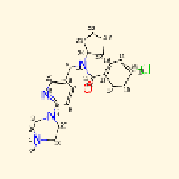 CN1CCN(c2ccc(CN(C(=O)c3ccc(Cl)cc3)C3CCCC3)cn2)CC1